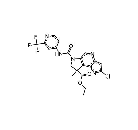 CCOC(=O)C1(C)CN(C(=O)Nc2ccnc(C(F)(F)F)c2)c2cnc3cc(Cl)nn3c21